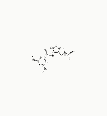 COc1cc(OC)cc(C(=O)Nc2[nH]nc3c2CN(C(C)=O)C3)c1